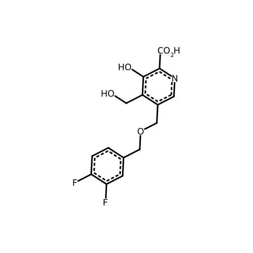 O=C(O)c1ncc(COCc2ccc(F)c(F)c2)c(CO)c1O